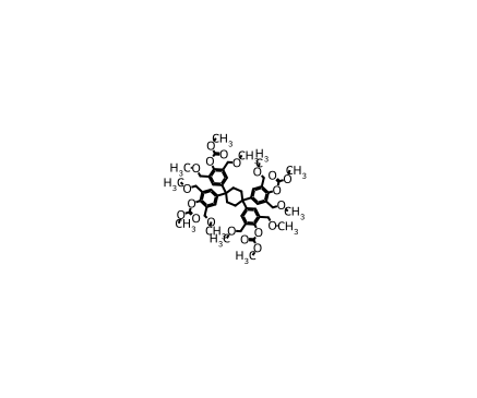 COCc1cc(C2(c3cc(COC)c(OC(=O)OC)c(COC)c3)CCC(c3cc(COC)c(OC(=O)OC)c(COC)c3)(c3cc(COC)c(OC(=O)OC)c(COC)c3)CC2)cc(COC)c1OC(=O)OC